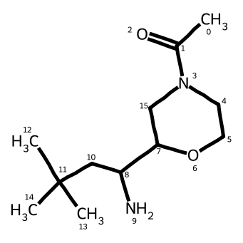 CC(=O)N1CCOC(C(N)CC(C)(C)C)C1